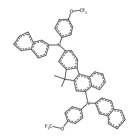 CC1(C)c2cc(N(c3ccc(OC(F)(F)F)cc3)c3ccc4ccccc4c3)ccc2-c2c1cc(N(c1ccc(OC(F)(F)F)cc1)c1ccc3ccccc3c1)c1ccccc21